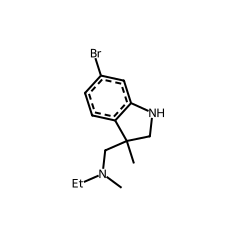 CCN(C)CC1(C)CNc2cc(Br)ccc21